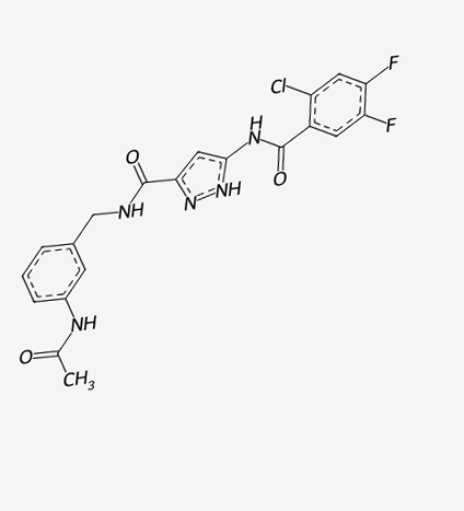 CC(=O)Nc1cccc(CNC(=O)c2cc(NC(=O)c3cc(F)c(F)cc3Cl)[nH]n2)c1